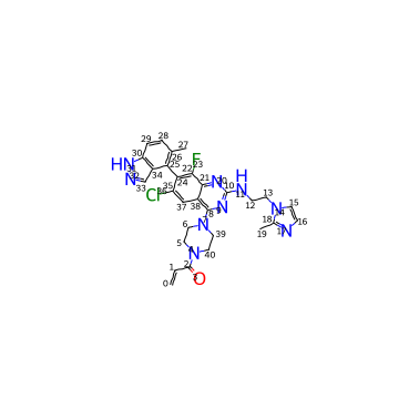 C=CC(=O)N1CCN(c2nc(NCCn3ccnc3C)nc3c(F)c(-c4c(C)ccc5[nH]ncc45)c(Cl)cc23)CC1